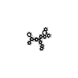 C1=CC(N2Cc3ccccc3/C=C\Cc3c(-c4cccc(N(c5ccc(-c6cc(C7=CCCCC=C7)cc(-c7ccccc7)c6)cc5)c5ccc(-c6ccc7ccccc7c6)cc5)c4)cccc32)=CCC1